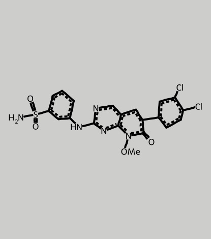 COn1c(=O)c(-c2ccc(Cl)c(Cl)c2)cc2cnc(Nc3cccc(S(N)(=O)=O)c3)nc21